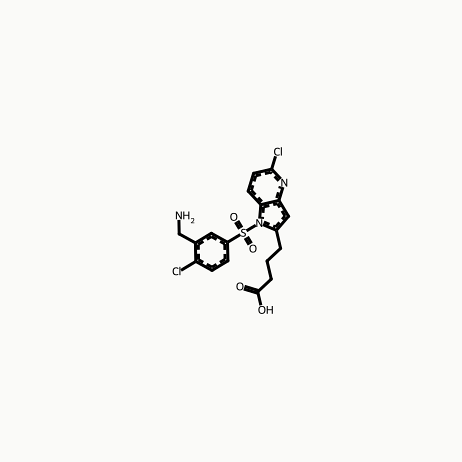 NCc1cc(S(=O)(=O)n2c(CCCC(=O)O)cc3nc(Cl)ccc32)ccc1Cl